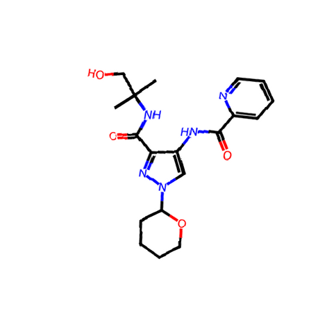 CC(C)(CO)NC(=O)c1nn(C2CCCCO2)cc1NC(=O)c1ccccn1